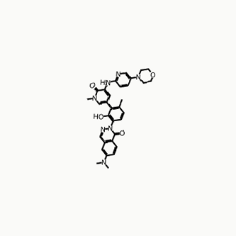 Cc1ccc(-n2ncc3cc(N(C)C)ccc3c2=O)c(O)c1-c1cc(Nc2ccc(N3CCOCC3)cn2)c(=O)n(C)c1